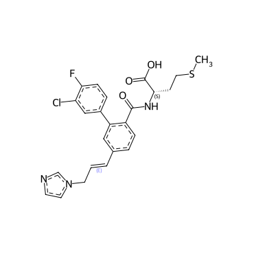 CSCC[C@H](NC(=O)c1ccc(/C=C/Cn2ccnc2)cc1-c1ccc(F)c(Cl)c1)C(=O)O